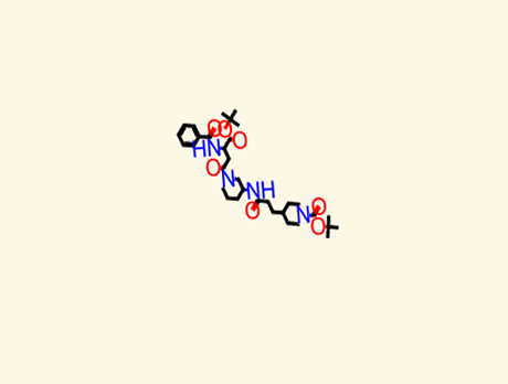 CC(C)(C)OC(=O)C(CC(=O)N1CCCC(NC(=O)CCC2CCN(C(=O)OC(C)(C)C)CC2)C1)NC(=O)c1ccccc1